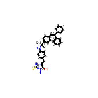 CC[C@](C)(Nc1ccc(/C=C2\NC(=S)NC2=O)cc1)c1ccc(C=C(c2ccccc2)c2ccccc2)cc1